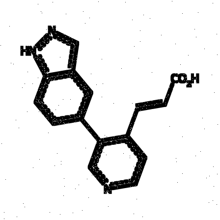 O=C(O)C=Cc1ccncc1-c1ccc2[nH]ncc2c1